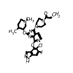 C=CC(=O)N1CCN(c2nc(O[C@@H]3CN(C)CCC3C)nc3c(Oc4c(Cl)c(F)cc5[nH]ncc45)nccc23)CC1